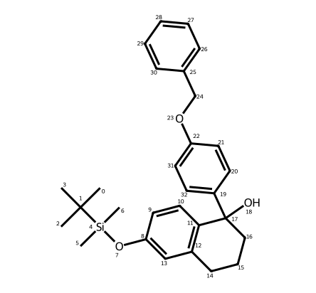 CC(C)(C)[Si](C)(C)Oc1ccc2c(c1)CCCC2(O)c1ccc(OCc2ccccc2)cc1